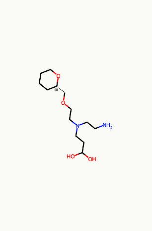 NCCN(CCOC[C@@H]1CCCCO1)CCC(O)O